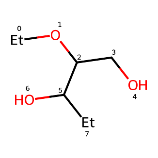 CCOC(CO)C(O)CC